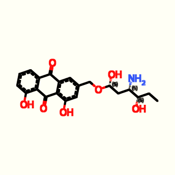 CC[C@H](O)[C@@H](N)C[C@@H](O)OCc1cc(O)c2c(c1)C(=O)c1cccc(O)c1C2=O